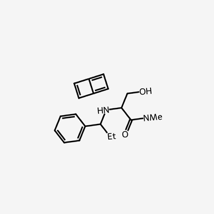 CCC(NC(CO)C(=O)NC)c1ccccc1.c1cc2ccc1-2